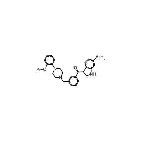 CC(C)Oc1ccccc1N1CCN(Cc2cccc(C(=O)C3CNc4cc([AsH2])ccc43)c2)CC1